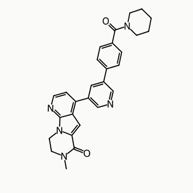 CN1CCn2c(cc3c(-c4cncc(-c5ccc(C(=O)N6CCCCC6)cc5)c4)ccnc32)C1=O